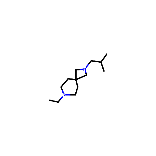 CCN1CCC2(CC1)CN(CC(C)C)C2